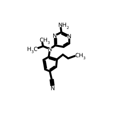 CCCc1cc(C#N)ccc1N(c1ccnc(N)n1)C(C)C